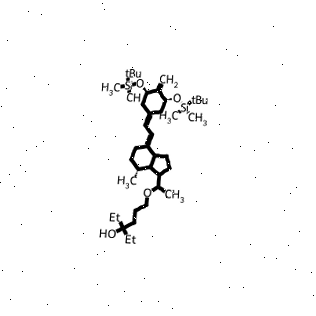 C=C1[C@H](O[Si](C)(C)C(C)(C)C)CC(=C/C=C2\CC[C@@H](C)C3C2CCC3C(C)OCCCC(O)(CC)CC)C[C@H]1O[Si](C)(C)C(C)(C)C